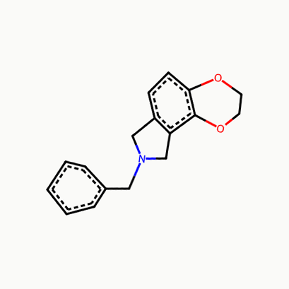 c1ccc(CN2Cc3ccc4c(c3C2)OCCO4)cc1